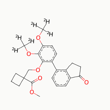 [2H]C([2H])([2H])Oc1ccc(-c2cccc3c2CCC3=O)c(OCC2(C(=O)OC)CCC2)c1OC([2H])([2H])[2H]